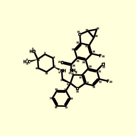 C[C@]1(O)CC[C@H](NC[C@@]2(c3ccccc3)Cc3c(cc(F)c(Cl)c3-c3c(C(N)=O)cc4c(c3F)C3CC3O4)O2)CC1